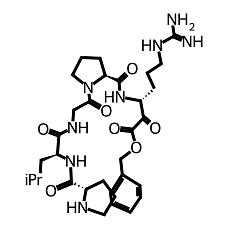 CC(C)C[C@H](NC(=O)[C@@H]1CCCN1)C(=O)NCC(=O)N1CCC[C@H]1C(=O)N[C@H](CCCNC(=N)N)C(=O)C(=O)OCc1ccccc1